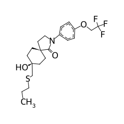 CCCSC[C@]1(O)CC[C@]2(CCN(c3ccc(OCC(F)(F)F)cc3)C2=O)CC1